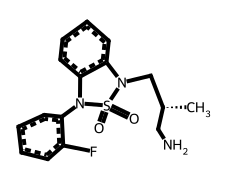 C[C@H](CN)CN1c2ccccc2N(c2ccccc2F)S1(=O)=O